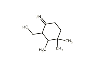 CC1C(CO)C(=N)CCC1(C)C